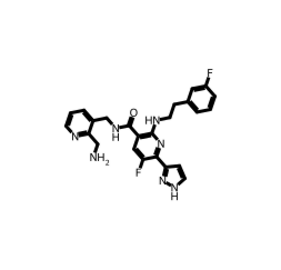 NCc1ncccc1CNC(=O)c1cc(F)c(-c2cc[nH]n2)nc1NCCc1cccc(F)c1